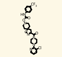 O=C(Nc1ccc(C(F)(F)F)cc1)ON1CCC2(CC1)CC(C(=O)N1CCN(c3ncccc3Cl)CC1)=NO2